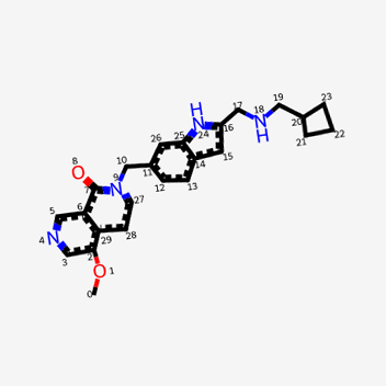 COc1cncc2c(=O)n(Cc3ccc4cc(CNCC5CCC5)[nH]c4c3)ccc12